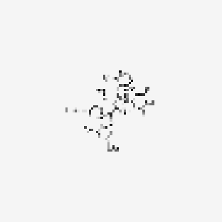 Cc1ncccc1CN(CC(=O)N(Cc1cc(C2CC2)cc(C(C)(C)C)c1)c1ccc(C(=O)O)cc1OC1CC1)S(=O)(=O)c1c(F)c(F)c(F)c(F)c1Br